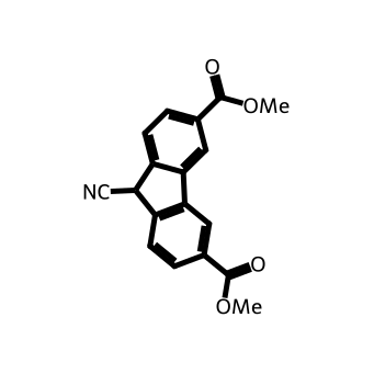 COC(=O)c1ccc2c(c1)-c1cc(C(=O)OC)ccc1C2C#N